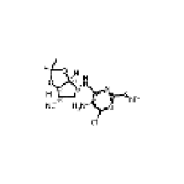 CCCSc1nc(Cl)c(N)c(N[C@@H]2C[C@H](C#N)[C@H]3OC(C)(C)O[C@H]32)n1